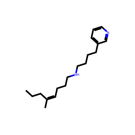 CCCC(C)=CCCCNCCCCc1cccnc1